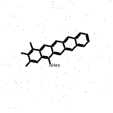 CCCCCCc1c2cc3cc4ccccc4cc3cc2cc2c(C)c(C)c(C)cc12